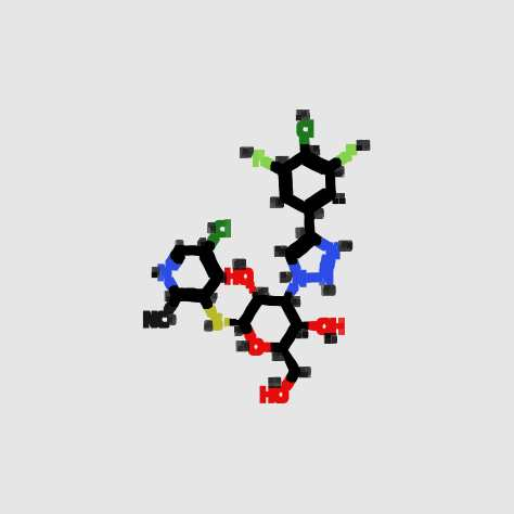 N#Cc1ncc(Cl)cc1S[C@H]1O[C@H](CO)[C@H](O)[C@H](n2cc(-c3cc(F)c(Cl)c(F)c3)nn2)[C@H]1O